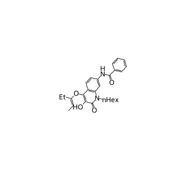 CC=C(CC)Oc1c(O)c(=O)n(CCCCCC)c2cc(NC(=O)c3ccccc3)ccc12